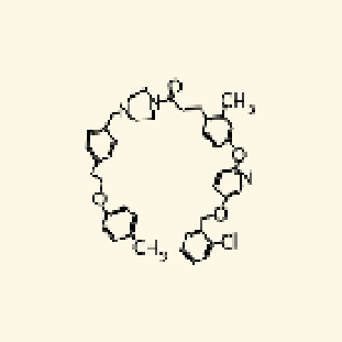 Cc1ccc(OCCc2ccc(CN3CCN(C(=O)/C=C/c4ccc(Oc5ccc(OCc6ccccc6Cl)cn5)cc4C)CC3)cc2)cc1